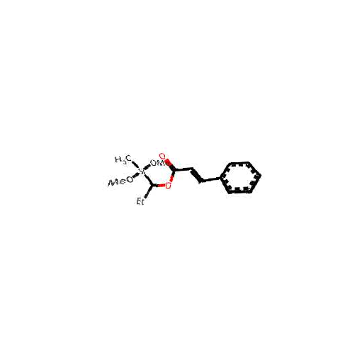 CCC(OC(=O)C=Cc1ccccc1)[Si](C)(OC)OC